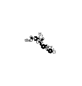 CC(C1CCN(C(=O)OC(C)(C)C)CC1)N1C(=O)SC(=Cc2ccc3c(cnn3Cc3ccc(Cl)cc3C(F)(F)F)c2)C1=O